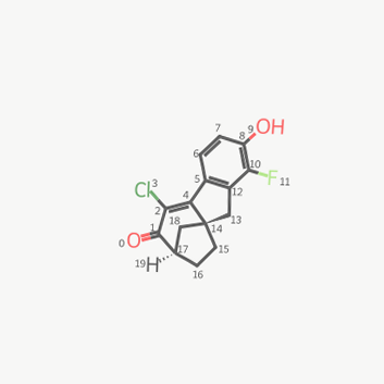 O=C1C(Cl)=C2c3ccc(O)c(F)c3C[C@]23CC[C@@H]1C3